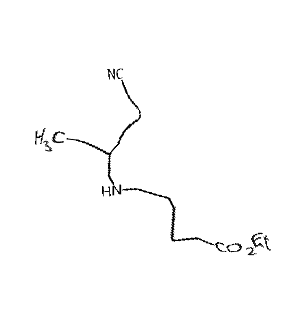 CCOC(=O)CCNC(C)CC#N